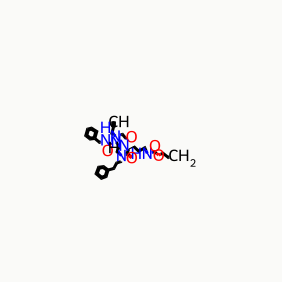 C#CCN1CC(=O)N2[C@@H](CCCNC(=O)OCC=C)C(=O)N(CCCc3ccccc3)C[C@@H]2N1C(=O)NCc1ccccc1